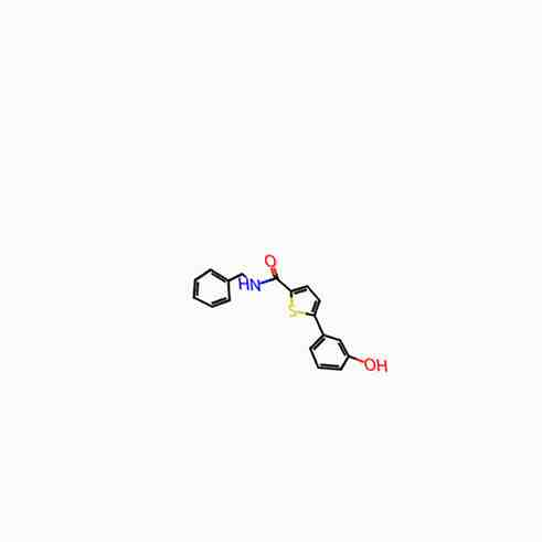 O=C(NCc1ccccc1)c1ccc(-c2cccc(O)c2)s1